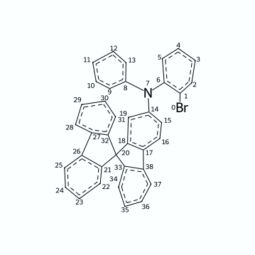 Brc1ccccc1N(c1ccccc1)c1ccc2c(c1)C1(c3ccccc3-c3ccccc31)c1ccccc1-2